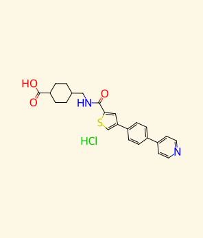 Cl.O=C(NCC1CCC(C(=O)O)CC1)c1cc(-c2ccc(-c3ccncc3)cc2)cs1